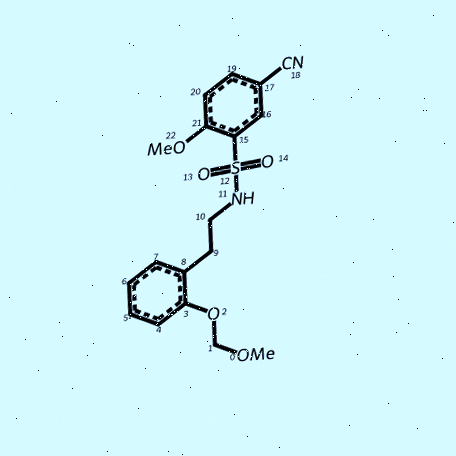 COCOc1c[c]ccc1CCNS(=O)(=O)c1cc(C#N)ccc1OC